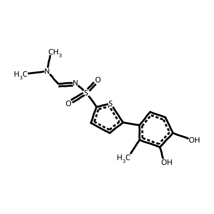 Cc1c(-c2ccc(S(=O)(=O)N=CN(C)C)s2)ccc(O)c1O